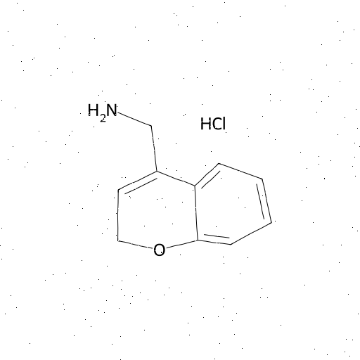 Cl.NCC1=CCOc2ccccc21